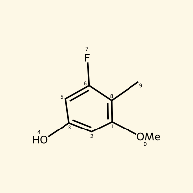 COc1cc(O)cc(F)c1C